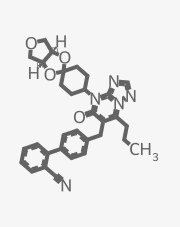 CCCc1c(Cc2ccc(-c3ccccc3C#N)cc2)c(=O)n(C2CCC3(CC2)O[C@@H]2COC[C@H]2O3)c2ncnn12